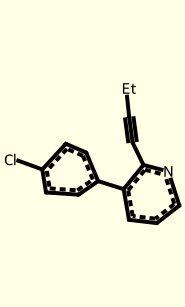 CCC#Cc1ncccc1-c1ccc(Cl)cc1